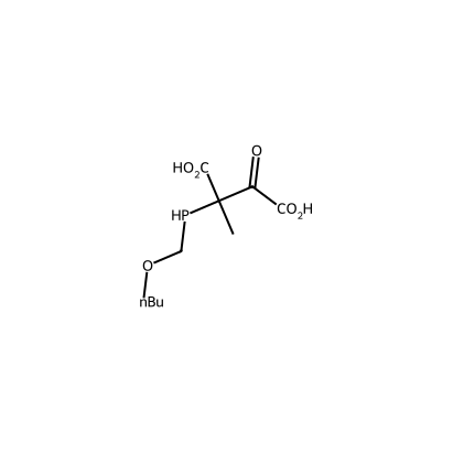 CCCCOCPC(C)(C(=O)O)C(=O)C(=O)O